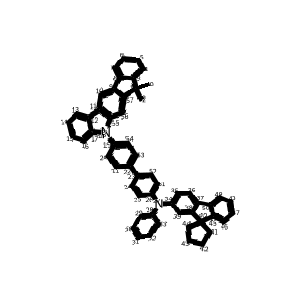 CC1(C)c2ccccc2-c2cc3c4ccccc4n(-c4ccc(-c5ccc(N(c6ccccc6)c6ccc7c(c6)C6(CCCC6)c6ccccc6-7)cc5)cc4)c3cc21